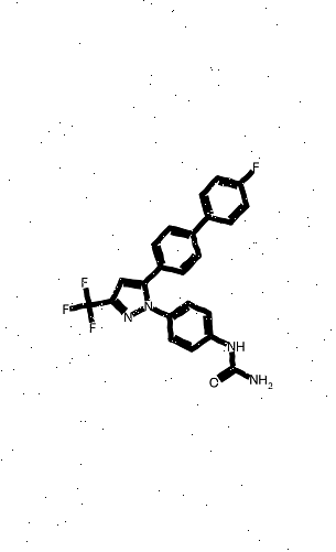 NC(=O)Nc1ccc(-n2nc(C(F)(F)F)cc2-c2ccc(-c3ccc(F)cc3)cc2)cc1